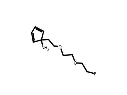 NC1(CCOCCOCCF)C=CC=C1